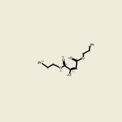 CC(C)CCOC(=O)/C=C(/Cl)C(=O)OCCC(C)C